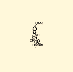 COCCN1CCc2ccc(Nc3ncc(Cl)c(NC4CCCC4(C(N)=O)C(=O)OC)n3)cc2CC1